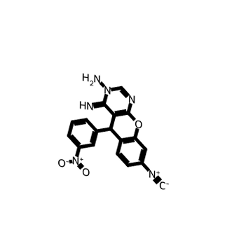 [C-]#[N+]c1ccc2c(c1)Oc1ncn(N)c(=N)c1C2c1cccc([N+](=O)[O-])c1